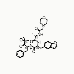 C[C@H](NC(=O)CN1CCOCC1)C(=O)N[C@@H](Cc1ccc2occc2c1)C(=O)N[C@@H](Cc1ccccc1)C(=O)[C@@]1(C)CO1